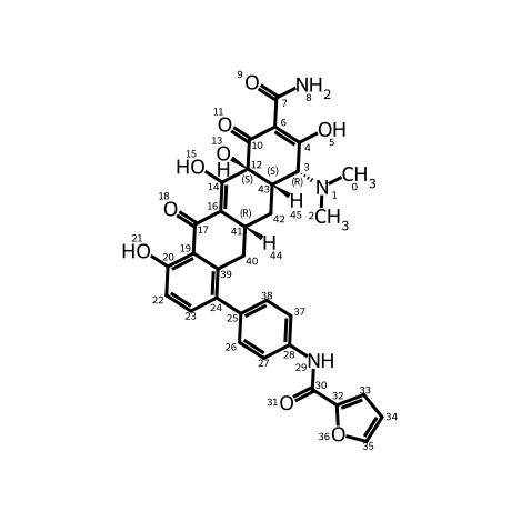 CN(C)[C@H]1C(O)=C(C(N)=O)C(=O)[C@@]2(O)C(O)=C3C(=O)c4c(O)ccc(-c5ccc(NC(=O)c6ccco6)cc5)c4C[C@H]3C[C@@H]12